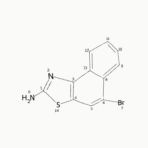 Nc1nc2c(cc(Br)c3ccccc32)s1